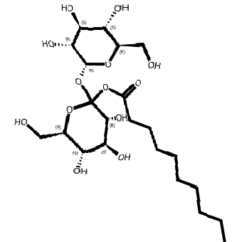 CCCCCCCCCC(=O)OC1(O[C@H]2O[C@H](CO)[C@@H](O)[C@H](O)[C@H]2O)O[C@H](CO)[C@@H](O)[C@H](O)[C@H]1O